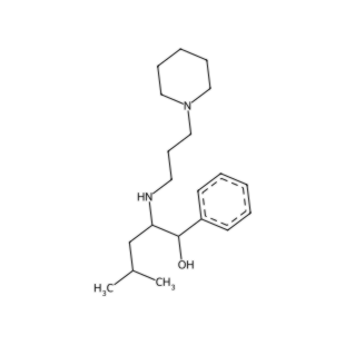 CC(C)CC(NCCCN1CCCCC1)C(O)c1ccccc1